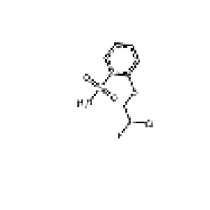 NS(=O)(=O)c1ccccc1SCC(F)Cl